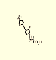 CCOc1ccc(C#Cc2ccc(OC[C@H](C)NC(=O)O)cc2F)nc1